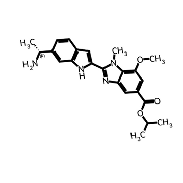 COc1cc(C(=O)OC(C)C)cc2nc(-c3cc4ccc([C@@H](C)N)cc4[nH]3)n(C)c12